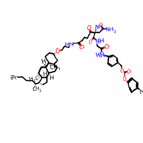 CC(C)CCC[C@@H](C)[C@H]1CC[C@H]2[C@@H]3CC=C4C[C@@H](OCCCNC(=O)CCC(=O)[C@](N)(CC(N)=O)C(=O)NCC(=O)Nc5ccc(COC(=O)Oc6ccc([N+](=O)[O-])cc6)cc5)CC[C@]4(C)[C@H]3CC[C@]12C